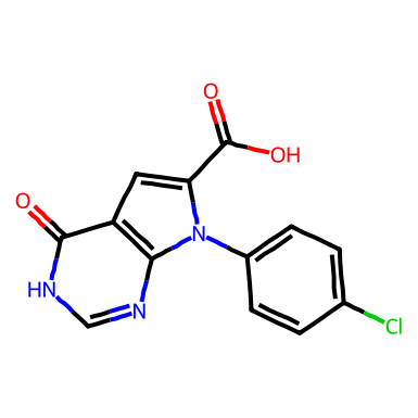 O=C(O)c1cc2c(=O)[nH]cnc2n1-c1ccc(Cl)cc1